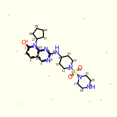 O=c1ccc2cnc(NC3CCN(S(=O)(=O)N4CCNCC4)CC3)nc2n1C1CCCC1